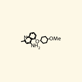 CO[C@H]1CC[C@H](Oc2cccc3nc(C)cc(N)c23)CC1